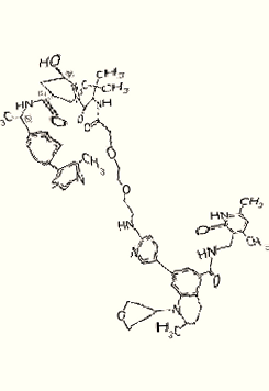 Cc1cc(C)c(CNC(=O)c2cc(-c3ccc(NCCOCCOCC(=O)NC(C(=O)N4C[C@H](O)C[C@H]4C(=O)N[C@@H](C)c4ccc(-c5scnc5C)cc4)C(C)(C)C)nc3)cc3c2CCC(C)N3C2CCOCC2)c(=O)[nH]1